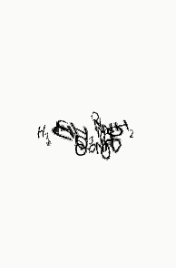 CN(C)CCOC(=O)c1ccc(Nc2cc(N3CCN(C4CCCCC4)CC3)c(N)c3c2C(=O)c2ccccc2C3=O)cc1